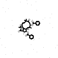 CC(=O)O[C@@H]1[C@H](C)/C=C/C(C)(C)C(=O)C[C@@H](OC(=O)c2ccccc2)/C(C)=C/[C@H]2[C@@H](OC(=O)c3ccccc3)[C@H](C)C[C@]12OC(C)=O